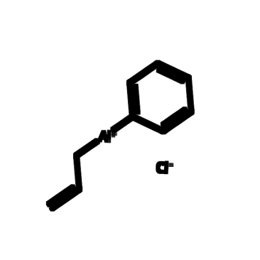 C=C[CH2][Al+][c]1ccccc1.[Cl-]